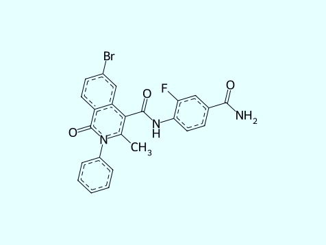 Cc1c(C(=O)Nc2ccc(C(N)=O)cc2F)c2cc(Br)ccc2c(=O)n1-c1ccccc1